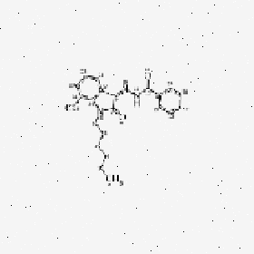 CCCCCCN1C(=O)/C(=N\NC(=O)c2ccccc2)c2cccc(Cl)c21